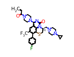 C=CC(=O)N1CCN(c2nc(=O)n3c4c(c(-c5ccc(F)cc5)c(C(F)(F)F)cc24)SC[C@@H]3CN2CCN(C3CC3)CC2)CC1